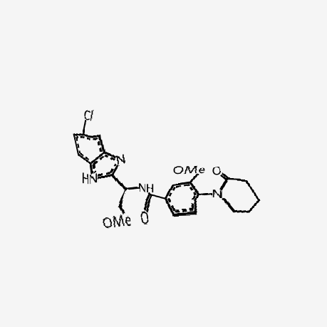 COC[C@H](NC(=O)c1ccc(N2CCCCC2=O)c(OC)c1)c1nc2cc(Cl)ccc2[nH]1